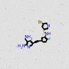 NCc1cc(C#Cc2ccc(F)c(NSc3cncc(Br)c3)c2)cnc1N